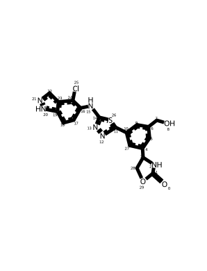 O=C1NC(c2cc(CO)cc(-c3nnc(Nc4ccc5[nH]ncc5c4Cl)s3)c2)CO1